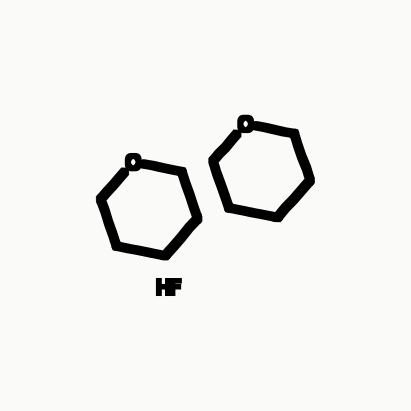 C1CCOCC1.C1CCOCC1.F